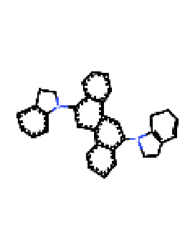 C1=CC2=C(CC1)N(c1cc3c4ccccc4c(N4CCc5ccccc54)cc3c3ccccc13)CC2